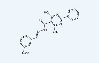 COc1cccc(/C=N/NC(=O)c2c(C)nc(-c3ccccn3)nc2O)c1